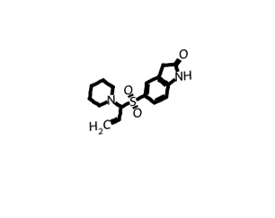 C=CC(N1CCCCC1)S(=O)(=O)c1ccc2c(c1)CC(=O)N2